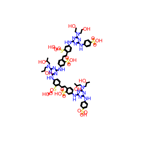 CC(O)CN(CC(C)O)c1nc(Nc2ccc(S(=O)(=O)O)cc2)nc(Nc2ccc(/C=C/c3ccc(Nc4nc(Nc5ccc(/C=C/c6ccc(Nc7nc(Nc8ccc(S(=O)(=O)O)cc8)nc(N(CCO)CCO)n7)cc6SOOO)c(S(=O)(=O)O)c5)nc(N(CC(C)O)CC(C)O)n4)cc3SOOO)c(S(=O)(=O)O)c2)n1